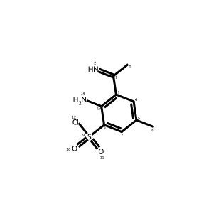 CC(=N)c1cc(C)cc(S(=O)(=O)Cl)c1N